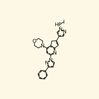 IPn1cc(C2=Cc3nc(-n4ccc(-c5ccccc5)n4)cc(N4CCOCC4)c3C2)cn1